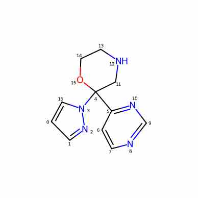 c1cnn(C2(c3ccncn3)CNCCO2)c1